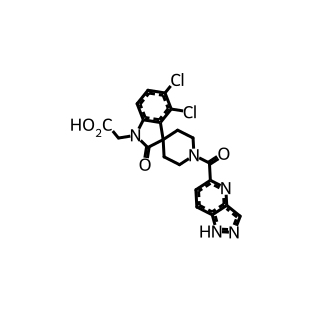 O=C(O)CN1C(=O)C2(CCN(C(=O)c3ccc4[nH]ncc4n3)CC2)c2c1ccc(Cl)c2Cl